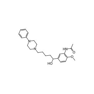 COc1ccc(C(O)CCCCN2CCN(c3ccccc3)CC2)cc1NC(C)=O